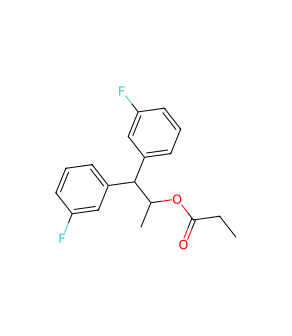 CCC(=O)OC(C)C(c1cccc(F)c1)c1cccc(F)c1